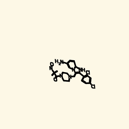 CC(C)(N=O)C(=O)N1CCN(CC2=C(c3ccc(Cl)cc3Cl)NC3C=CC(N)=CN23)CC1